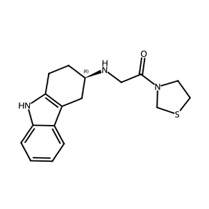 O=C(CN[C@@H]1CCc2[nH]c3ccccc3c2C1)N1CCSC1